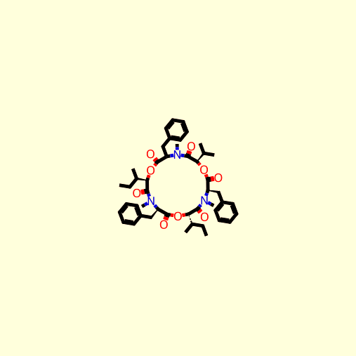 CCC(C)[C@@H]1OC(=O)[C@@H](Cc2ccccc2)N(C)C(=O)[C@@H](C(C)CC)OC(=O)C(Cc2ccccc2)N(C)C(=O)[C@@H](C(C)C)OC(=O)[C@@H](Cc2ccccc2)N(C)C1=O